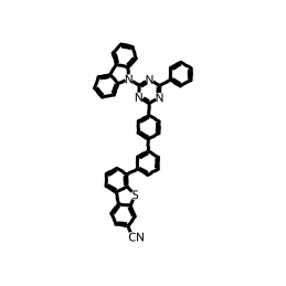 N#Cc1ccc2c(c1)sc1c(-c3cccc(-c4ccc(-c5nc(-c6ccccc6)nc(-n6c7ccccc7c7ccccc76)n5)cc4)c3)cccc12